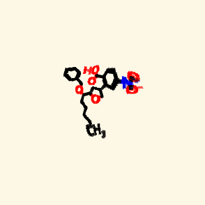 CCCCC[C@@H](OCc1ccccc1)[C@H]1C[C@@H](c2cc([N+](=O)[O-])ccc2C(=O)O)CO1